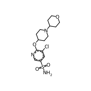 NS(=O)(=O)c1cnc(OC2CCN(C3CCOCC3)CC2)c(Cl)c1